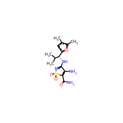 Cc1cc([C@H](NC2=NS(=O)(=O)C(C(N)=O)=C2N)C(C)C)oc1C